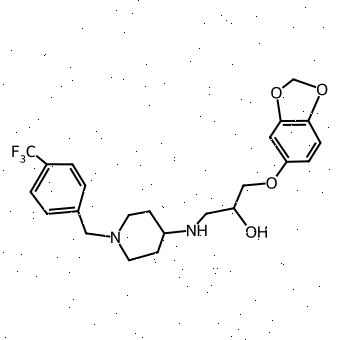 OC(CNC1CCN(Cc2ccc(C(F)(F)F)cc2)CC1)COc1ccc2c(c1)OCO2